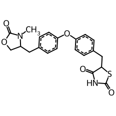 CN1C(=O)OCC1Cc1ccc(Oc2ccc(CC3SC(=O)NC3=O)cc2)cc1